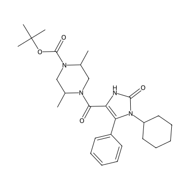 CC1CN(C(=O)c2[nH]c(=O)n(C3CCCCC3)c2-c2ccccc2)C(C)CN1C(=O)OC(C)(C)C